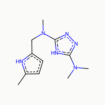 Cc1ccc(CN(C)c2nnc(N(C)C)[nH]2)[nH]1